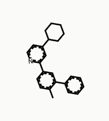 Cc1ccc(-c2cc(C3CCCCC3)ccn2)cc1-c1ccccc1